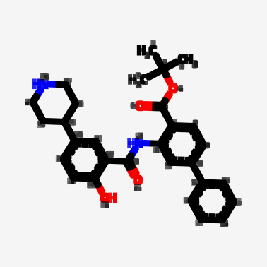 CC(C)(C)OC(=O)c1ccc(-c2ccccc2)cc1NC(=O)c1cc(C2CCNCC2)ccc1O